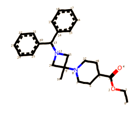 CCOC(=O)C1CCN(C2(C)CN(C(c3ccccc3)c3ccccc3)C2)CC1